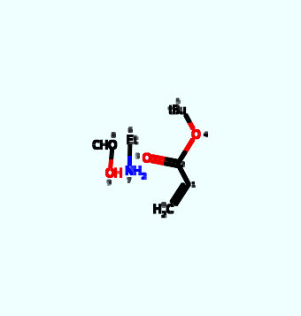 C=CC(=O)OC(C)(C)C.CCN.O=CO